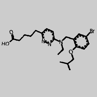 CCN(Cc1cc(Br)ccc1OCC(C)C)c1ccc(CCCCC(=O)O)nn1